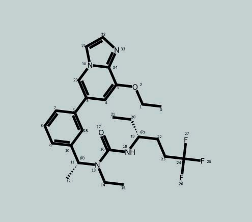 CCOc1cc(-c2cccc([C@@H](C)N(CC)C(=O)N[C@H](CC)CCC(F)(F)F)c2)cn2ccnc12